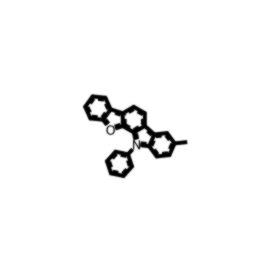 Cc1ccc2c(c1)c1ccc3c4ccccc4oc3c1n2-c1ccccc1